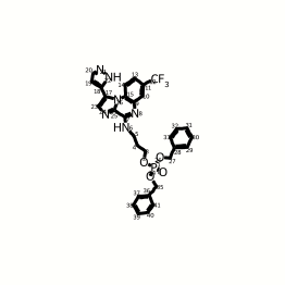 O=P(OCCCNc1nc2cc(C(F)(F)F)ccc2n2c(-c3ccn[nH]3)cnc12)(OCc1ccccc1)OCc1ccccc1